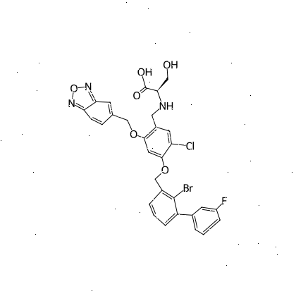 O=C(O)[C@@H](CO)NCc1cc(Cl)c(OCc2cccc(-c3cccc(F)c3)c2Br)cc1OCc1ccc2nonc2c1